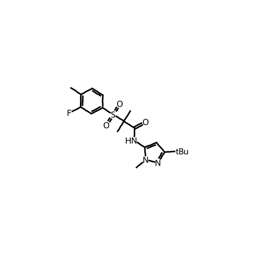 Cc1ccc(S(=O)(=O)C(C)(C)C(=O)Nc2cc(C(C)(C)C)nn2C)cc1F